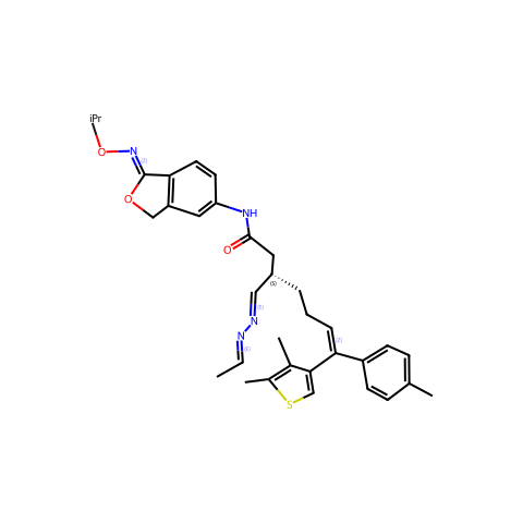 C/C=N/N=C/[C@@H](CC/C=C(/c1ccc(C)cc1)c1csc(C)c1C)CC(=O)Nc1ccc2c(c1)CO/C2=N\OC(C)C